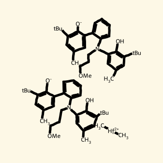 COCCCN(c1ccccc1-c1cc(C)cc(C(C)(C)C)c1[O-])c1cc(C)cc(C(C)(C)C)c1O.COCCCN(c1ccccc1-c1cc(C)cc(C(C)(C)C)c1[O-])c1cc(C)cc(C(C)(C)C)c1O.[CH3][Hf+2][CH3]